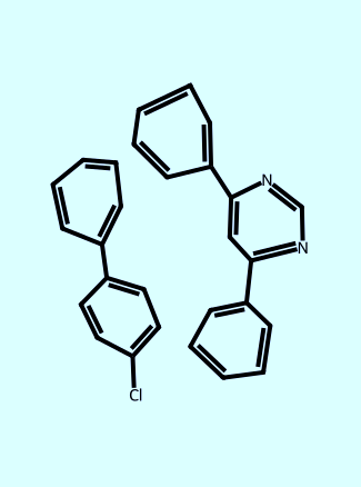 Clc1ccc(-c2ccccc2)cc1.c1ccc(-c2cc(-c3ccccc3)ncn2)cc1